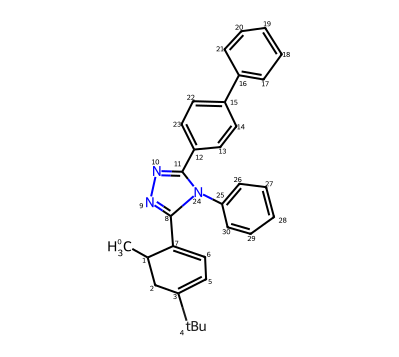 CC1CC(C(C)(C)C)=CC=C1c1nnc(-c2ccc(-c3ccccc3)cc2)n1-c1ccccc1